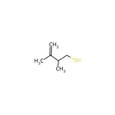 C=C(C)C(C)CS